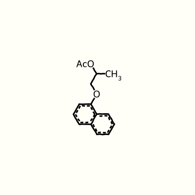 CC(=O)OC(C)COc1cccc2ccccc12